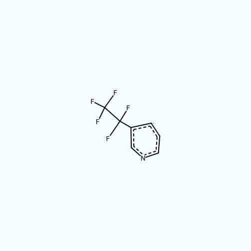 FC(F)(F)C(F)(F)c1[c]ccnc1